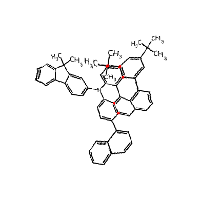 CC(C)(C)c1cc(-c2cccc3cccc(-c4ccccc4N(c4ccc(-c5cccc6ccccc56)cc4)c4ccc5c(c4)C(C)(C)c4ccccc4-5)c23)cc(C(C)(C)C)c1